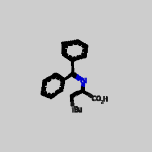 CCC(C)CC(N=C(c1ccccc1)c1ccccc1)C(=O)O